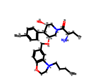 COCCCN1CCOc2ccc(CO[C@H]3CN(C(=O)[C@@H](N)CC(C)C)C[C@@H](O)[C@@H]3c3ccc(OC)cc3)cc21